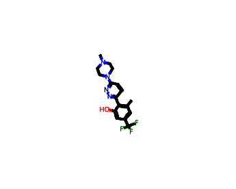 Cc1cc(C(F)(F)F)cc(O)c1-c1ccc(N2CCN(C)CC2)nn1